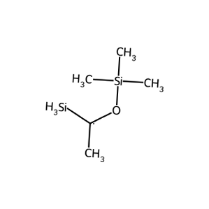 C[C]([SiH3])O[Si](C)(C)C